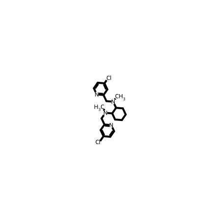 CN(Cc1cc(Cl)ccn1)C1CCCCC1N(C)Cc1cc(Cl)ccn1